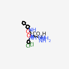 N=C(N)NCCC[C@@H](C(=O)O)N(NCc1ccc(Cl)c(Cl)c1)C(=O)CC(=O)Nc1ccc(-c2ccccc2)cc1